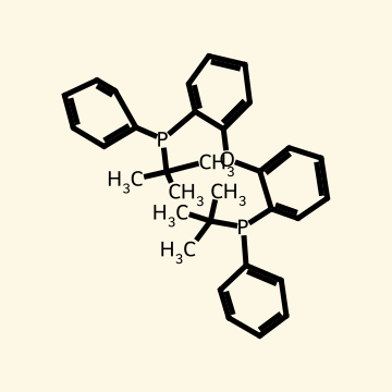 CC(C)(C)P(c1ccccc1)c1ccccc1Oc1ccccc1P(c1ccccc1)C(C)(C)C